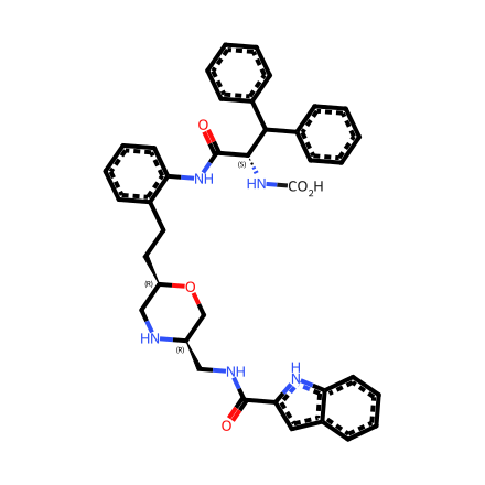 O=C(O)N[C@H](C(=O)Nc1ccccc1CC[C@@H]1CN[C@H](CNC(=O)c2cc3ccccc3[nH]2)CO1)C(c1ccccc1)c1ccccc1